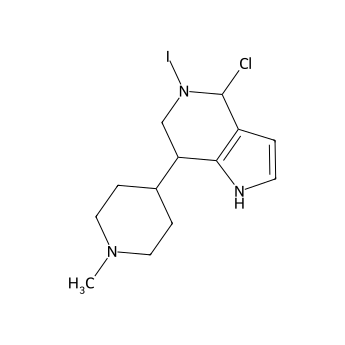 CN1CCC(C2CN(I)C(Cl)c3cc[nH]c32)CC1